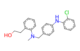 CN(Cc1ccc(Nc2ccccc2Cl)cc1)c1ccccc1CCO